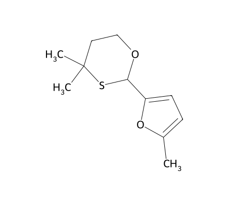 Cc1ccc(C2OCCC(C)(C)S2)o1